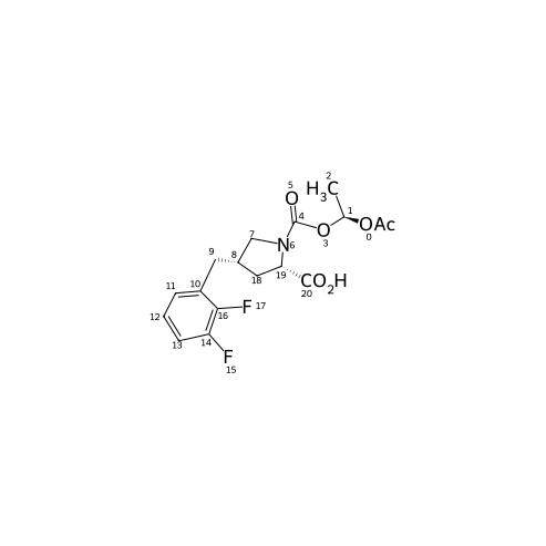 CC(=O)O[C@H](C)OC(=O)N1C[C@@H](Cc2cccc(F)c2F)C[C@H]1C(=O)O